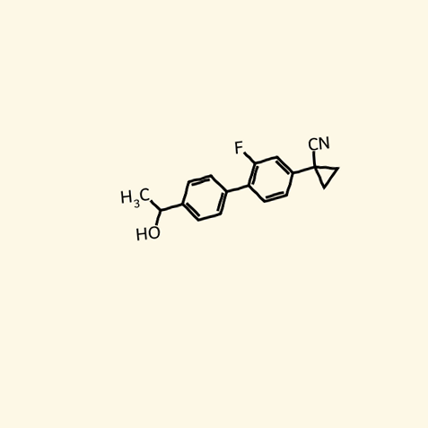 CC(O)c1ccc(-c2ccc(C3(C#N)CC3)cc2F)cc1